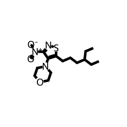 CCC(CC)CCCc1snc([N+](=O)[O-])c1N1CCOCC1